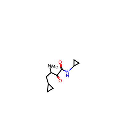 CNC(CC1CC1)C(=O)C(=O)NC1CC1